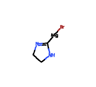 [Br][Mg][C]1=NCCN1